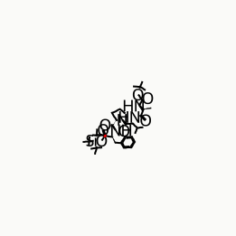 CC(C)[C@H](NC(=O)[C@H](C)NC(=O)OC(C)(C)C)C(=O)N1CCC[C@H]1C(=O)N[C@@H](Cc1ccccc1)C(=O)O[Si](C(C)(C)C)(C(C)(C)C)C(C)(C)C